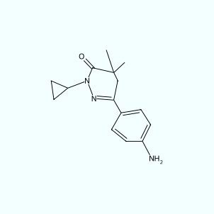 CC1(C)CC(c2ccc(N)cc2)=NN(C2CC2)C1=O